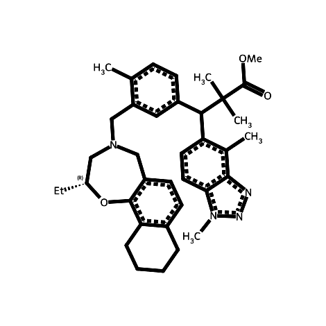 CC[C@@H]1CN(Cc2cc(C(c3ccc4c(nnn4C)c3C)C(C)(C)C(=O)OC)ccc2C)Cc2ccc3c(c2O1)CCCC3